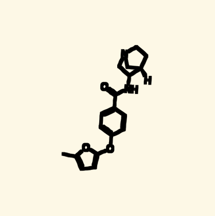 Cc1ccc(Oc2ccc(C(=O)NC3CN4CC[C@H]3C4)cc2)o1